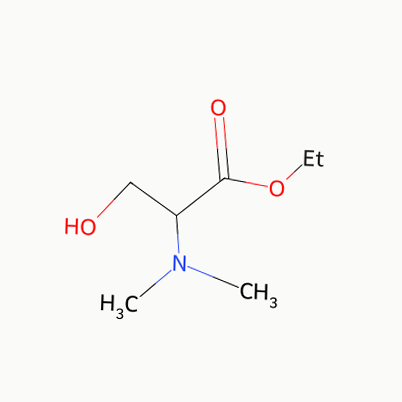 CCOC(=O)C(CO)N(C)C